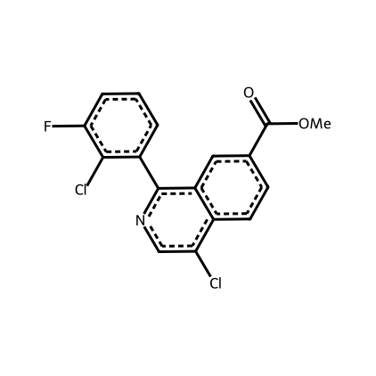 COC(=O)c1ccc2c(Cl)cnc(-c3cccc(F)c3Cl)c2c1